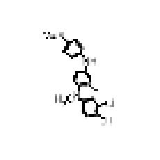 CNc1ccc(Nc2ccc(N(C)c3ccc(C)c(Cl)c3)c(F)c2)cc1